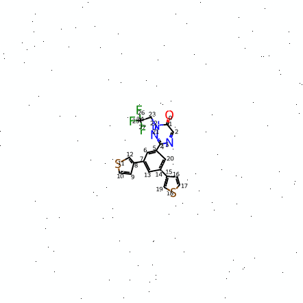 O=c1cnc(-c2cc(-c3ccsc3)cc(-c3ccsc3)c2)nn1CC(F)(F)F